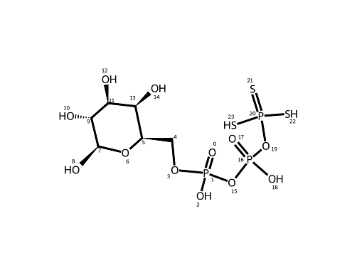 O=P(O)(OC[C@H]1O[C@@H](O)[C@H](O)[C@@H](O)[C@H]1O)OP(=O)(O)OP(=S)(S)S